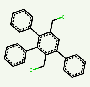 ClCc1cc(-c2ccccc2)c(CCl)c(-c2ccccc2)c1-c1ccccc1